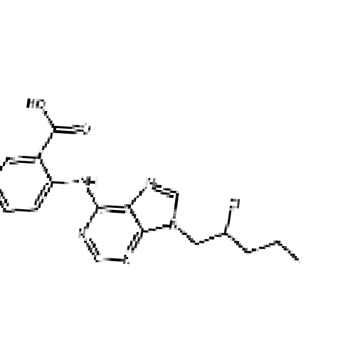 CCCC(Cl)Cn1cnc2c(Nc3ccccc3C(=O)O)ncnc21